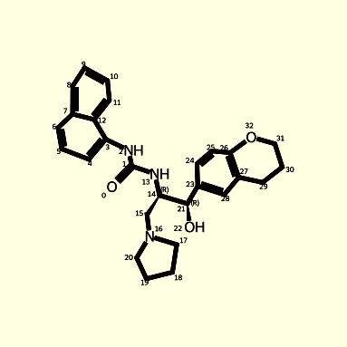 O=C(Nc1cccc2ccccc12)N[C@H](CN1CCCC1)[C@H](O)c1ccc2c(c1)CCCO2